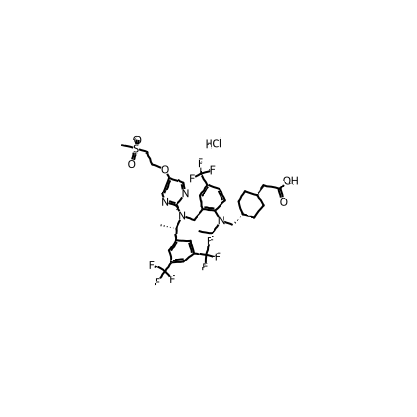 CCN(C[C@H]1CC[C@H](CC(=O)O)CC1)c1ccc(C(F)(F)F)cc1CN(c1ncc(OCCS(C)(=O)=O)cn1)[C@@H](C)c1cc(C(F)(F)F)cc(C(F)(F)F)c1.Cl